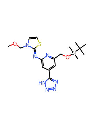 COCn1ccs/c1=N\c1cc(-c2nnn[nH]2)cc(CO[Si](C)(C)C(C)(C)C)n1